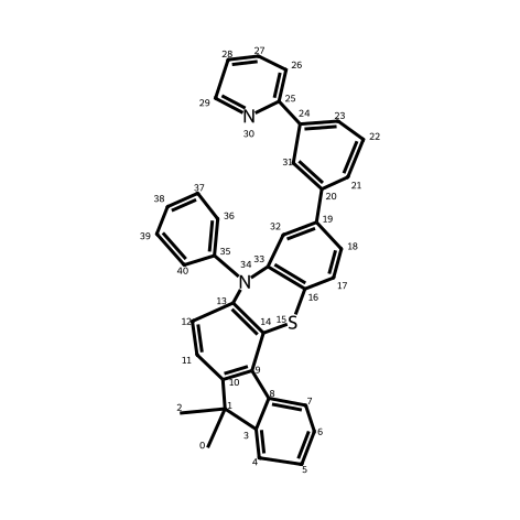 CC1(C)c2ccccc2-c2c1ccc1c2Sc2ccc(-c3cccc(-c4ccccn4)c3)cc2N1c1ccccc1